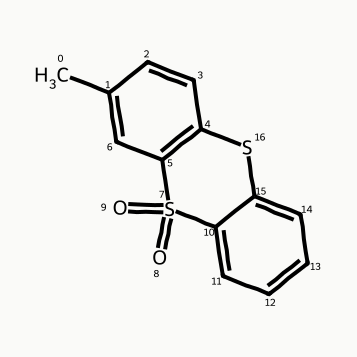 Cc1ccc2c(c1)S(=O)(=O)c1ccccc1S2